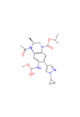 COC(O)Nc1cc2c(cc1-c1cnn(C3CC3)c1)N(C(=O)OC(C)C)C[C@H](C)N2C(C)=O